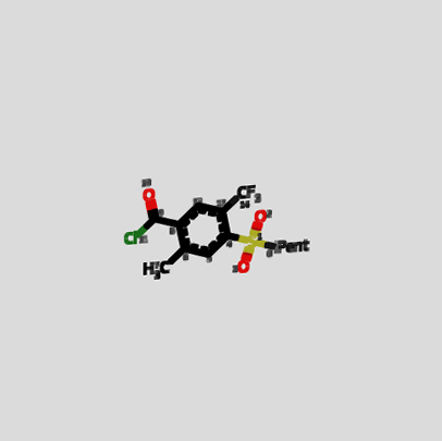 CCCC(C)S(=O)(=O)c1cc(C)c(C(=O)Cl)cc1C(F)(F)F